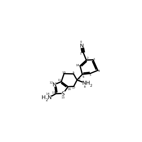 N#Cc1cccc(C2(N)CCc3nc(N)sc3C2)c1